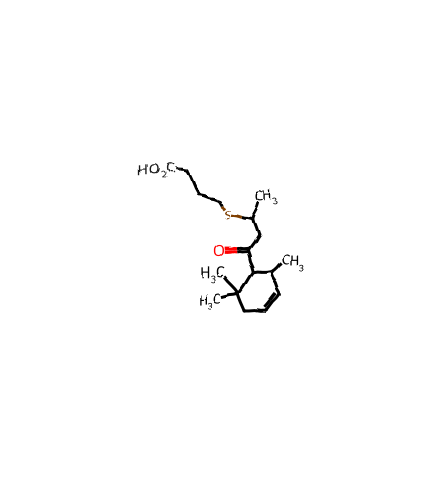 CC(CC(=O)C1C(C)C=CCC1(C)C)SCCCC(=O)O